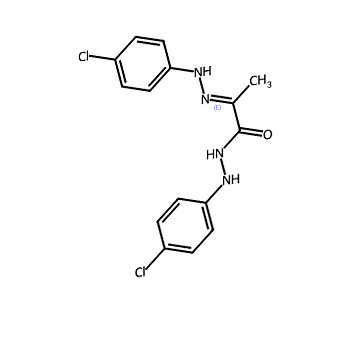 C/C(=N\Nc1ccc(Cl)cc1)C(=O)NNc1ccc(Cl)cc1